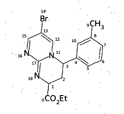 CCOC(=O)C1CC(c2cccc(C)c2)N2C=C(Br)C=NC2=N1